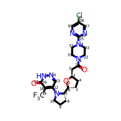 O=C(C[C@H]1CC[C@H]([C@@H]2CCCN2c2cn[nH]c(=O)c2C(F)(F)F)O1)N1CCN(c2ncc(Cl)cn2)CC1